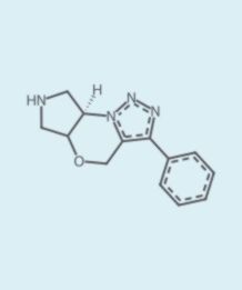 c1ccc(-c2nnn3c2COC2CNC[C@H]23)cc1